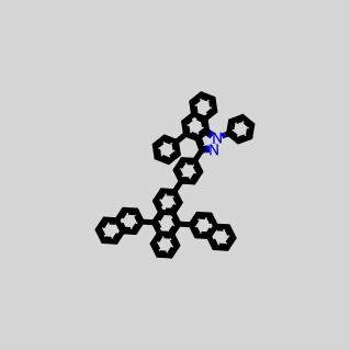 c1ccc(-c2cc3ccccc3c3c2c(-c2ccc(-c4ccc5c(-c6ccc7ccccc7c6)c6ccccc6c(-c6ccc7ccccc7c6)c5c4)cc2)nn3-c2ccccc2)cc1